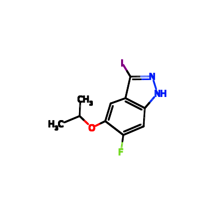 CC(C)Oc1cc2c(I)n[nH]c2cc1F